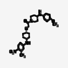 O=C(COC1CCC(Nc2ccc([N+](=O)[O-])c(C(F)(F)F)c2)CC1)N1CCC(Nc2ccc(OC(F)(F)F)cc2)CC1